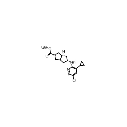 CC(C)(C)OC(=O)N1CC2C[C@@H](Nc3nnc(Cl)cc3C3CC3)C[C@@H]2C1